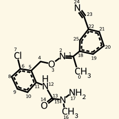 C/C(=N\OCc1c(Cl)cccc1NC(=O)N(C)N)c1cccc(C#N)c1